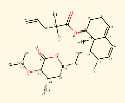 C=CCC(CC)(CC)C(=O)O[C@H]1CCC=C2C=C[C@H](C)[C@H](CC[C@@H]3C[C@H](C(C)(C)C)C(O[SiH](C)C)C(=O)O3)[C@H]21